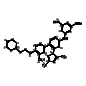 COc1cc(Nc2ncc(-c3cnc(OCCN4CCOCC4)c(C(=O)O)c3)c(-n3nc(C(F)(F)F)cc3C)n2)cc(OC)c1